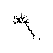 CCCCCCCC(=O)n1cc(Br)c(=O)[nH]c1=O